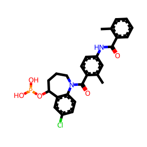 Cc1ccccc1C(=O)Nc1ccc(C(=O)N2CCCC(OP(O)O)c3cc(Cl)ccc32)c(C)c1